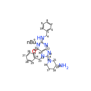 CCCCn1c(NCc2ccccc2)nc2nc(N3CCCC(N)C3)n(Cc3ccccc3)c2c1=O